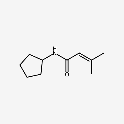 CC(C)=CC(=O)NC1CCCC1